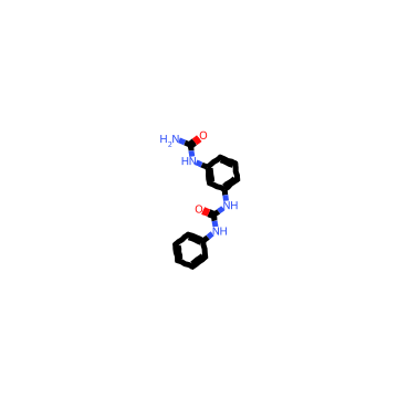 NC(=O)Nc1cccc(NC(=O)Nc2ccccc2)c1